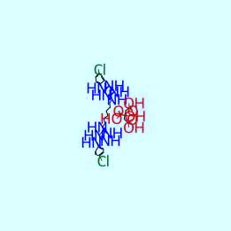 N=C(NCCCCCCNC(=N)NC(=N)Nc1ccc(Cl)cc1)NC(=N)Nc1ccc(Cl)cc1.O=C(O)CC(O)(CC(=O)O)C(=O)O